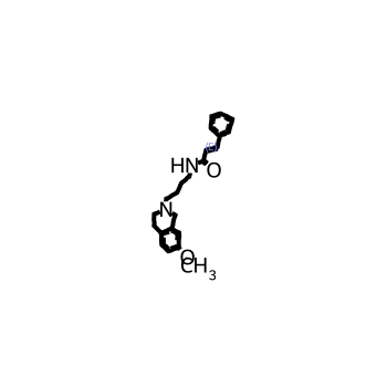 COc1ccc2c(c1)CN(CCCCNC(=O)/C=C/c1ccccc1)CC2